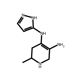 CC1CC(Nc2ccn[nH]2)=C(N)CN1